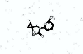 CCC(=O)N(CC1(C)CC1)c1cccc(C(F)(F)F)n1